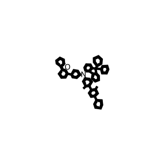 Cc1cc(-c2ccccc2)ccc1-c1ccc(N(c2ccc(-c3cccc4c3oc3ccccc34)cc2)c2cccc3c2-c2ccccc2C3(c2ccccc2)c2ccccc2)cc1C